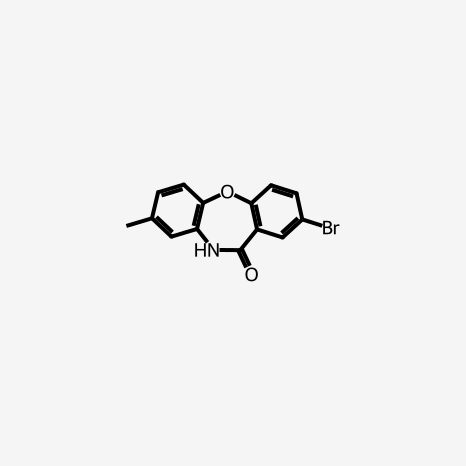 Cc1ccc2c(c1)NC(=O)c1cc(Br)ccc1O2